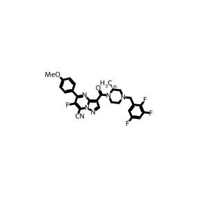 COc1ccc(-c2nc3c(C(=O)N4CCN(Cc5cc(F)cc(F)c5F)C[C@H]4C)cnn3c(C#N)c2F)cc1